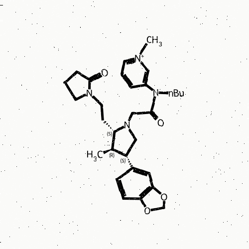 CCCCN(C(=O)CN1C[C@H](c2ccc3c(c2)OCO3)[C@@H](C)[C@@H]1CCN1CCCC1=O)c1ccc[n+](C)c1